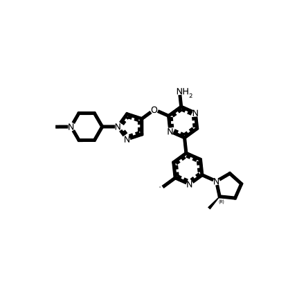 [CH2]c1cc(-c2cnc(N)c(Oc3cnn(C4CCN(C)CC4)c3)n2)cc(N2CCC[C@H]2C)n1